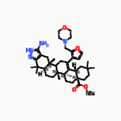 CCCCOC(=O)[C@]12CCC(C)(C)C[C@H]1C1=C(c3ccoc3CN3CCOCC3)CC3[C@@]4(C)Cc5c(n[nH]c5N)C(C)(C)[C@@H]4CC[C@@]3(C)[C@]1(C)CC2